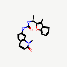 Cc1c([C@H](C)NC(=O)Nc2ccc3ccc(=O)n(C)c3c2)oc2ccccc12